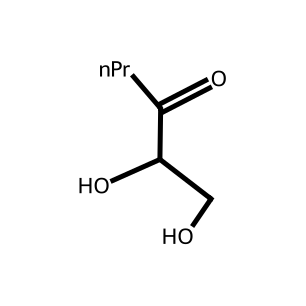 [CH2]CCC(=O)C(O)CO